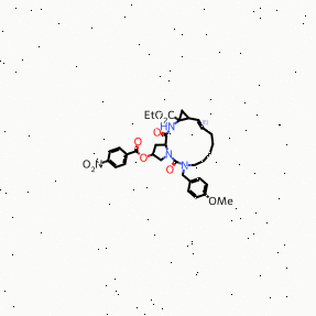 CCOC(=O)C12CC1/C=C/CCCCCN(Cc1ccc(OC)cc1)C(=O)N1CC(OC(=O)c3ccc([N+](=O)[O-])cc3)CC1C(=O)N2